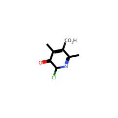 CC1=NC(Cl)C(=O)C(C)=C1C(=O)O